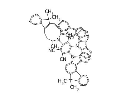 C=C1/C=C\C2=C(CCC(=C)N1c1c(C#N)c(C#N)c(-n3c4ccccc4c4c5c(ccc43)C(C)(C)c3ccccc3-5)c(-n3c4ccccc4c4ccccc43)c1-n1c3ccccc3c3ccccc31)c1ccccc1C2(C)C